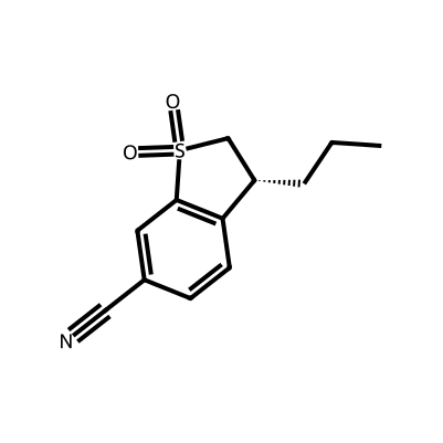 CCC[C@H]1CS(=O)(=O)c2cc(C#N)ccc21